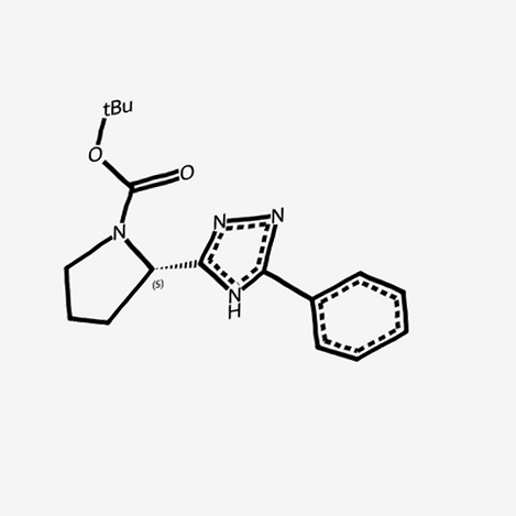 CC(C)(C)OC(=O)N1CCC[C@H]1c1nnc(-c2ccccc2)[nH]1